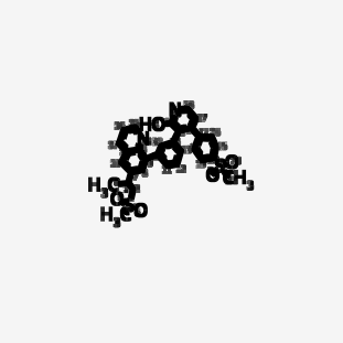 CC(CS(C)(=O)=O)c1cc(-c2cccc(-c3c(-c4ccc(S(C)(=O)=O)cc4)ccnc3O)c2)c2ncccc2c1